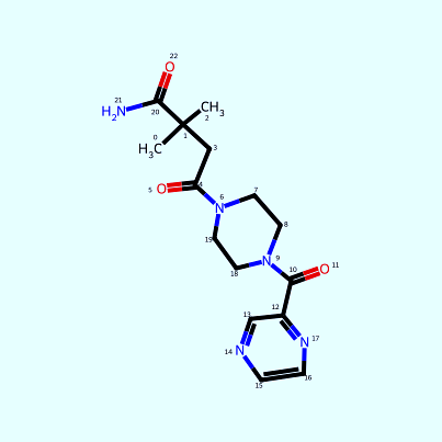 CC(C)([CH]C(=O)N1CCN(C(=O)c2cnccn2)CC1)C(N)=O